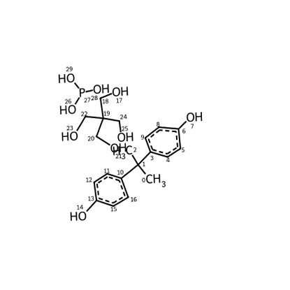 CC(C)(c1ccc(O)cc1)c1ccc(O)cc1.OCC(CO)(CO)CO.OP(O)O